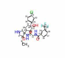 CCO[C@H]1CNC[C@@]1(NC(=O)CNC(=O)c1cccc(C(F)(F)F)c1)C1CCC(O)(c2ccc(Cl)cc2)CC1